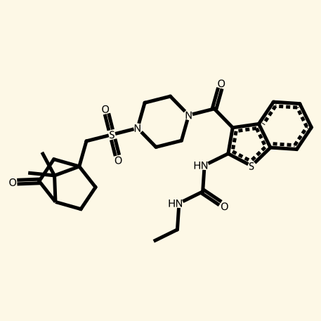 CCNC(=O)Nc1sc2ccccc2c1C(=O)N1CCN(S(=O)(=O)CC23CCC(C(=O)C2)C3(C)C)CC1